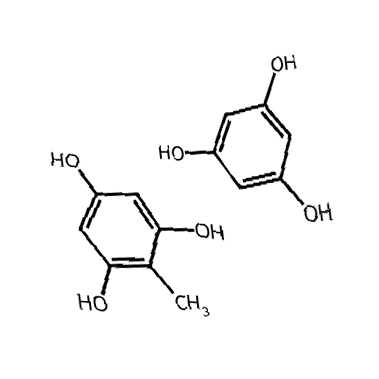 Cc1c(O)cc(O)cc1O.Oc1cc(O)cc(O)c1